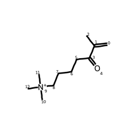 C=C(C)C(=O)CCCC[N+](C)(C)C